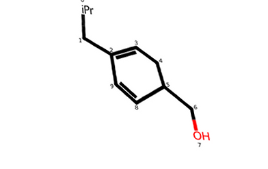 CC(C)CC1=CCC(CO)C=C1